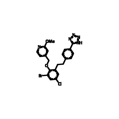 COc1cc(COc2c(Br)cc(Cl)cc2CCc2ccc(-c3nnn[nH]3)cc2)ccn1